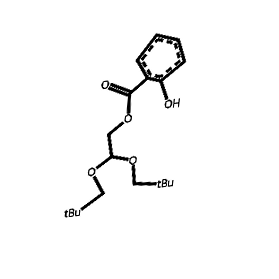 CC(C)(C)COC(COC(=O)c1ccccc1O)OCC(C)(C)C